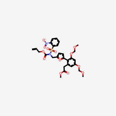 C=CCOC(=O)N(Cc1ccc(-c2c(CC(=O)OC)cc(OCOC)cc2OCOC)o1)S(=O)(=O)c1ccccc1[N+](=O)[O-]